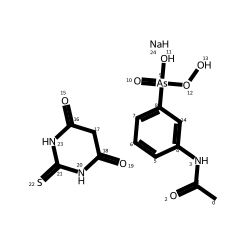 CC(=O)Nc1cccc([As](=O)(O)OO)c1.O=C1CC(=O)NC(=S)N1.[NaH]